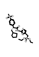 CCOP(=O)(Cc1csc(NC(=O)[C@H](CC2CCCC2)c2ccc(S(C)(=O)=O)cc2)n1)OCC